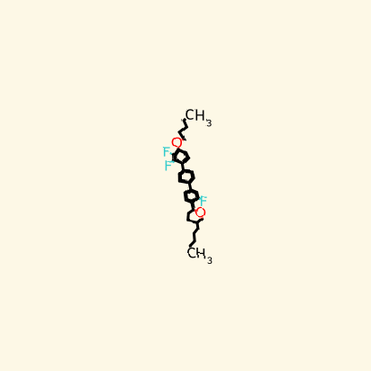 CCCCCOc1ccc(-c2ccc(-c3ccc(C4CCC(CCCCC)CO4)c(F)c3)cc2)c(F)c1F